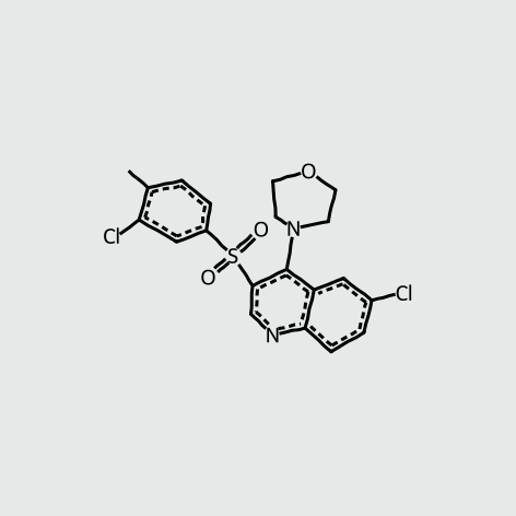 Cc1ccc(S(=O)(=O)c2cnc3ccc(Cl)cc3c2N2CCOCC2)cc1Cl